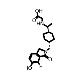 CC(NCC(=O)O)[C@H]1CC[C@H](CN2Cc3ccc(O)c(F)c3C2=O)CC1